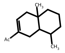 CC(=O)C1=CCC2(C)CCCC(C)C2C1